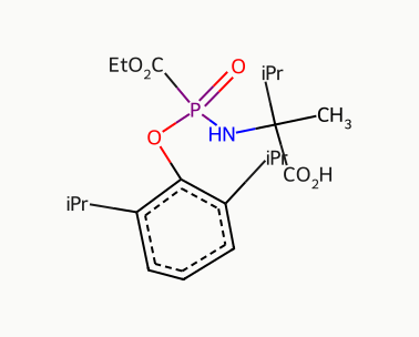 CCOC(=O)P(=O)(NC(C)(C(=O)O)C(C)C)Oc1c(C(C)C)cccc1C(C)C